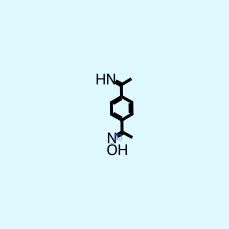 CC(=N)c1ccc(/C(C)=N/O)cc1